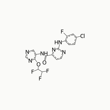 O=C(Nc1cncnc1OC(F)C(F)F)c1ccnc(Nc2ccc(Cl)cc2F)n1